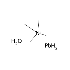 C[N+](C)(C)C.O.[PbH2]